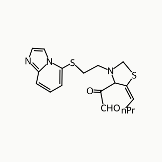 CCCC=C1SCN(CCSc2cccc3nccn23)C1C(=O)C=O